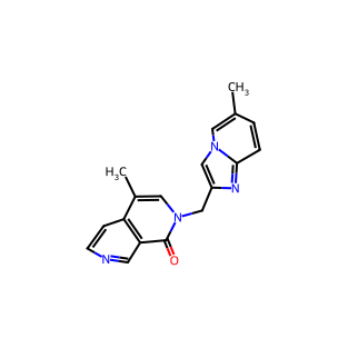 Cc1ccc2nc(Cn3cc(C)c4ccncc4c3=O)cn2c1